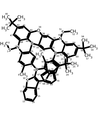 CSN1c2cc(C)c(B3c4sc5ccccc5c4Oc4cc(C(C)(C)C)cc(C)c43)cc2B2c3cc4c(cc3Oc3cc(C(C)(C)C)cc1c32)N(SC)c1cc(C(C)(C)C)cc2c1B4c1sc3ccccc3c1O2